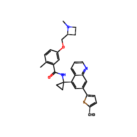 Cc1ccc(OCC2CCN2C)cc1C(=O)NC1(c2cc(-c3ccc(C=O)s3)cc3ncccc23)CC1